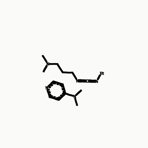 CCN=C=NCCCN(C)C.CN(C)c1ccncc1